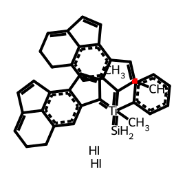 CC1=Cc2c(cc3c4c2C=CC4=CCC3)[C]1=[Ti]([CH3])(=[SiH2])(=[C]1C(C)=Cc2c1cc1c3c2C=CC3=CCC1)[c]1ccccc1.I.I